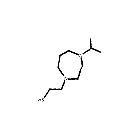 CC(C)N1CCCN(CCS)CC1